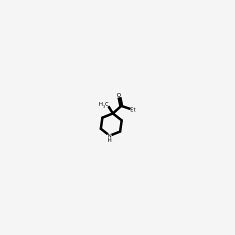 CCC(=O)C1(C)CCNCC1